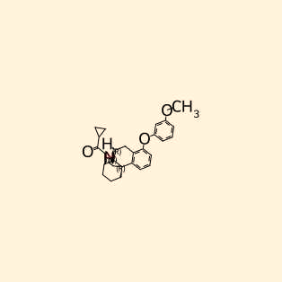 COc1cccc(Oc2cccc3c2C[C@@H]2[C@@H]4CCCC[C@]34CCN2C(=O)C2CC2)c1